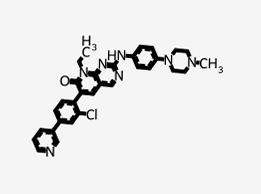 CCn1c(=O)c(-c2ccc(-c3cccnc3)cc2Cl)cc2cnc(Nc3ccc(N4CCN(C)CC4)cc3)nc21